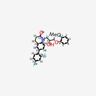 COc1ccccc1OCC(O)CN1C(=O)CCc2cc(-c3ccc(F)cc3F)ccc21